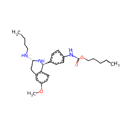 CCCCCOC(=O)Nc1ccc([C@@H]2N[C@@H](NCCCC)Cc3cc(OC)ccc32)cc1